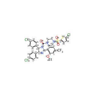 CCOc1cc(C(F)(F)F)ccc1C1=NC(c2ccc(Cl)cc2)C(c2ccc(Cl)cc2)N1C(=O)N1CCN(S(=O)(=O)c2ccc(Cl)s2)CC1